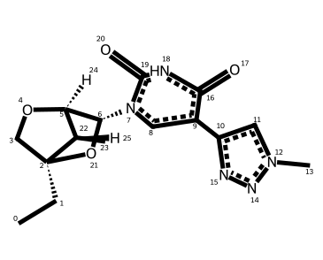 CC[C@@]12CO[C@@H]([C@H](n3cc(-c4cn(C)nn4)c(=O)[nH]c3=O)O1)[C@@H]2C